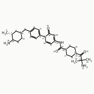 C[C@@H]1CN(Cc2ccc(-n3ccc(NC(=O)N4CCN(C(=O)C(C)(C)N)CC4)nc3=O)cc2)CCC1N